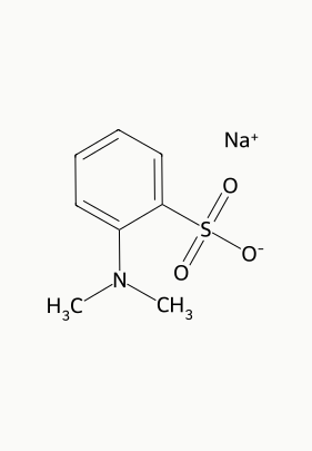 CN(C)c1ccccc1S(=O)(=O)[O-].[Na+]